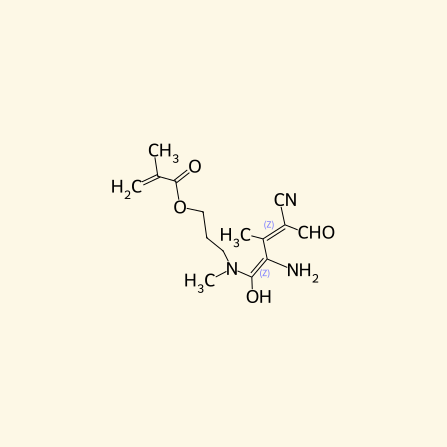 C=C(C)C(=O)OCCCN(C)/C(O)=C(N)\C(C)=C(\C#N)C=O